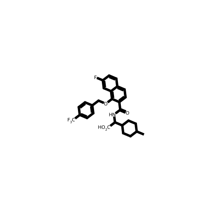 CC1CCC(C(NC(=O)c2ccc3ccc(F)cc3c2OCc2ccc(C(F)(F)F)cc2)C(=O)O)CC1